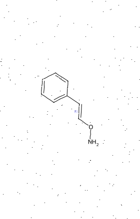 NO/C=C/c1ccccc1